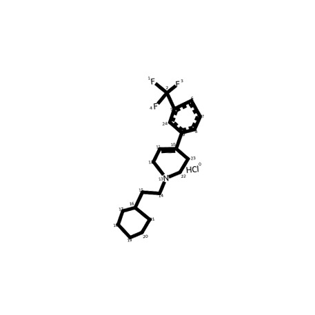 Cl.FC(F)(F)c1cccc(C2=CCN(CCC3CCCCC3)CC2)c1